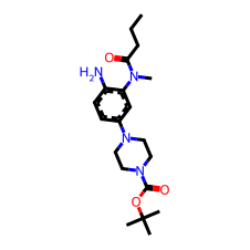 CCCC(=O)N(C)c1cc(N2CCN(C(=O)OC(C)(C)C)CC2)ccc1N